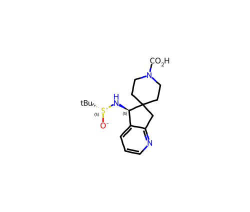 CC(C)(C)[S@@+]([O-])N[C@@H]1c2cccnc2CC12CCN(C(=O)O)CC2